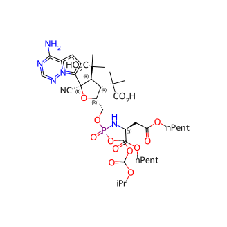 CCCCCOC(=O)C[C@H](NP(=O)(OCOC(=O)OC(C)C)OC[C@@H]1O[C@@](C#N)(c2ccc3c(N)ncnn23)[C@@H](C(C)(C)C(=O)O)[C@@H]1C(C)(C)C(=O)O)C(=O)OCCCCC